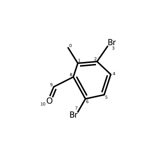 Cc1c(Br)ccc(Br)c1C=O